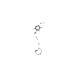 [N-]=[N+]=Nc1c(F)c(F)c(C(=O)NCCNC(=O)OC2/C=C/CC[C@H](O)CC2)c(F)c1F